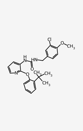 COc1ccc(CNC(=O)Nc2cccnc2Oc2ccccc2C(C)(C)C)cc1Cl